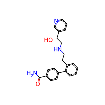 NC(=O)c1ccc(-c2ccccc2CCNC[C@H](O)c2cccnc2)cc1